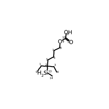 CCC(CC)(CCCCOC(=O)O)[SiH2]C